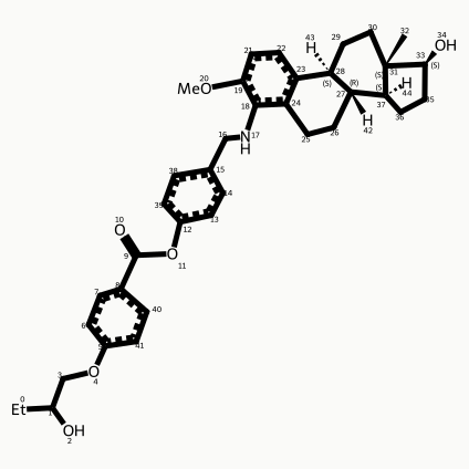 CCC(O)COc1ccc(C(=O)Oc2ccc(CNc3c(OC)ccc4c3CC[C@@H]3[C@@H]4CC[C@]4(C)[C@@H](O)CC[C@@H]34)cc2)cc1